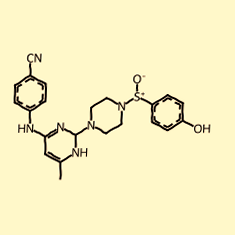 CC1=CC(Nc2ccc(C#N)cc2)=NC(N2CCN([S+]([O-])c3ccc(O)cc3)CC2)N1